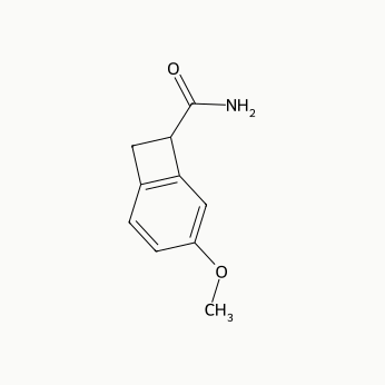 COc1ccc2c(c1)C(C(N)=O)C2